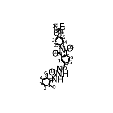 Cc1cccc(C)c1NC(=O)NN=Cc1ccc2c(c1)C(=O)N(c1ccc(OC(F)(F)F)cc1)C2=O